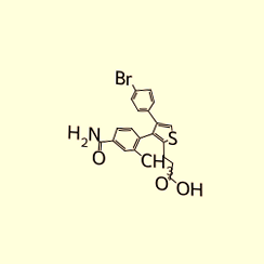 Cc1cc(C(N)=O)ccc1-c1c(-c2ccc(Br)cc2)csc1CCC(=O)O